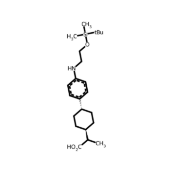 CC(C(=O)O)[C@H]1CC[C@H](c2ccc(NCCO[Si](C)(C)C(C)(C)C)cc2)CC1